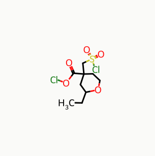 CCC1CC(CS(=O)(=O)Cl)(C(=O)OCl)CCO1